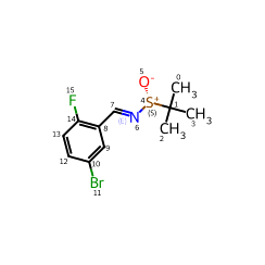 CC(C)(C)[S@@+]([O-])/N=C/c1cc(Br)ccc1F